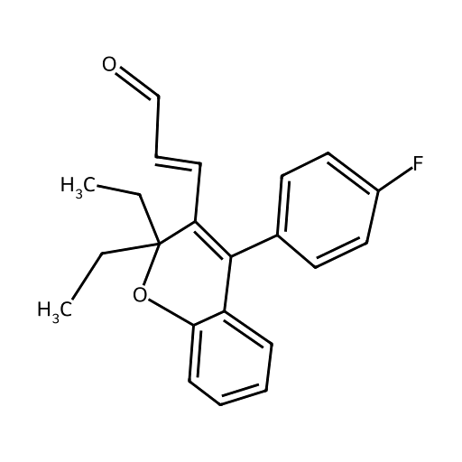 CCC1(CC)Oc2ccccc2C(c2ccc(F)cc2)=C1/C=C/C=O